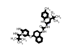 Cc1ccc(N/C(=C\C(=N)C(C)(C)C)NC(=O)NC2CCC(Oc3ccc(=N)n(C(=N)C(C)(C)C)c3)c3ccccc32)cc1